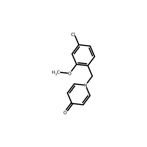 COc1cc(Cl)ccc1Cn1ccc(=O)cc1